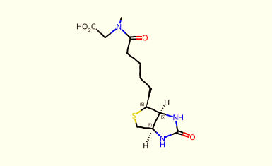 CN(CC(=O)O)C(=O)CCCC[C@@H]1SC[C@@H]2NC(=O)N[C@@H]21